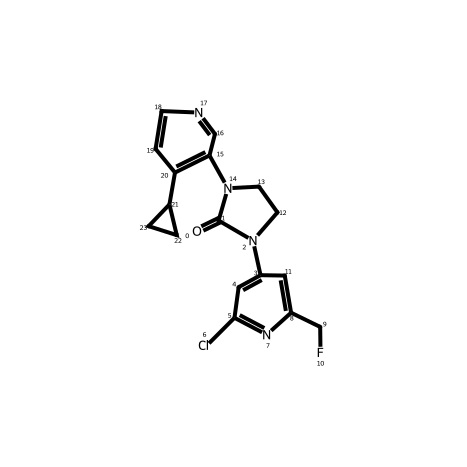 O=C1N(c2cc(Cl)nc(CF)c2)CCN1c1cnccc1C1CC1